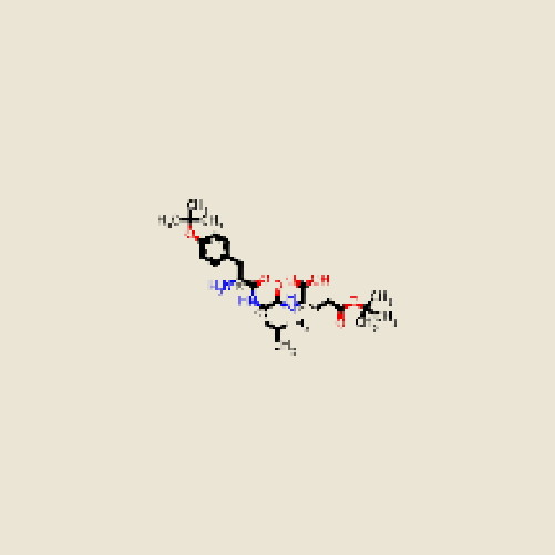 CC(C)C[C@H](NC(=O)[C@@H](N)Cc1ccc(OC(C)(C)C)cc1)C(=O)N[C@@H](CCC(=O)OC(C)(C)C)C(=O)O